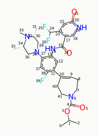 CC(C)OC(=O)N1CCC=C(c2cc(NC(=O)c3c[nH]c(=O)cc3C(F)F)c(N3C[C@@H](C)N(C)[C@@H](C)C3)cc2F)CC1